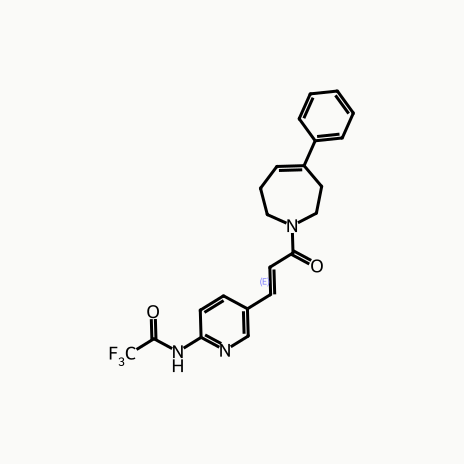 O=C(/C=C/c1ccc(NC(=O)C(F)(F)F)nc1)N1CCC=C(c2ccccc2)CC1